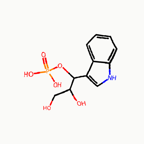 O=P(O)(O)OC(c1c[nH]c2ccccc12)C(O)CO